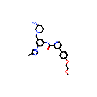 COCCOc1ccc(-c2ccnc(C(=O)Nc3cc(CN4CCC[C@H](N)C4)cc(-n4cnc(C)c4)c3)c2)cc1